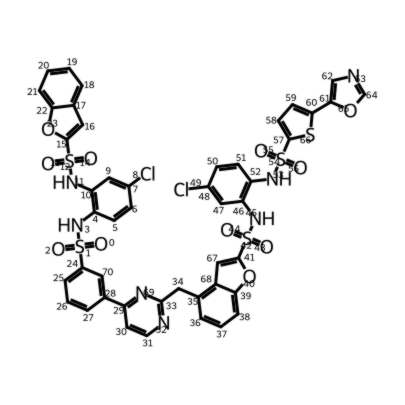 O=S(=O)(Nc1ccc(Cl)cc1NS(=O)(=O)c1cc2ccccc2o1)c1cccc(-c2ccnc(Cc3cccc4oc(S(=O)(=O)Nc5cc(Cl)ccc5NS(=O)(=O)c5ccc(-c6cnco6)s5)cc34)n2)c1